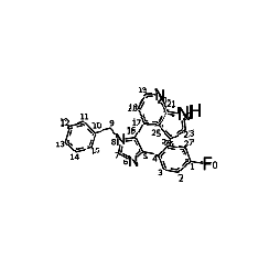 Fc1ccc(-c2ncn(Cc3ccccc3)c2-c2ccnc3[nH]ccc23)cc1